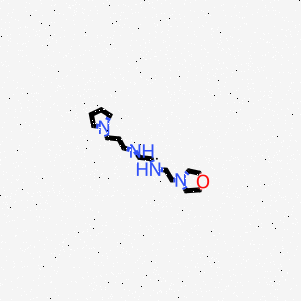 [CH](CNCCCN1CCCC1)NCCN1CCOCC1